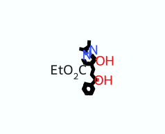 CCOC(=O)c1cn2c(C)c(C)nc2c(O)c1CCC(O)c1ccccc1